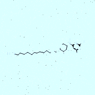 NCCCCCCCCCCCOC[C@H]1OC[C@H](Nc2cc(Cl)nc(C(F)(F)F)n2)[C@@H](O)[C@H]1O